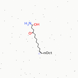 CCCCCCCC/C=C\CCCCCCCC(=O)CCC(N)O